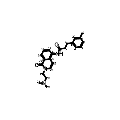 Cc1cccc(CCC(=O)Nc2cccc3c(=O)n(CCN(C)C)ccc23)c1